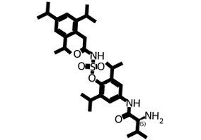 CC(C)c1cc(C(C)C)c(CC(=O)NS(=O)(=O)Oc2c(C(C)C)cc(NC(=O)[C@@H](N)C(C)C)cc2C(C)C)c(C(C)C)c1